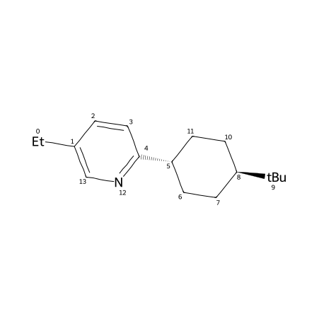 CCc1ccc([C@H]2CC[C@H](C(C)(C)C)CC2)nc1